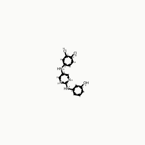 Oc1cccc(Nc2ncc(Nc3ccc(Cl)c(Cl)c3)cn2)c1